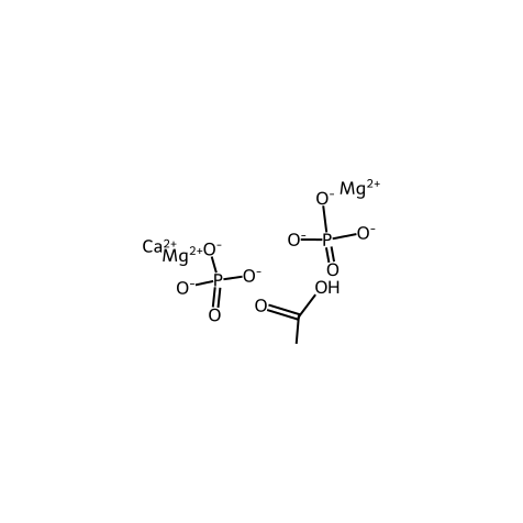 CC(=O)O.O=P([O-])([O-])[O-].O=P([O-])([O-])[O-].[Ca+2].[Mg+2].[Mg+2]